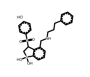 Cl.O=S(=O)(c1ccccc1)C1CS(O)(O)c2cccc(CNCCCc3ccccc3)c21